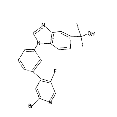 CC(C)(O)c1ccc2c(c1)ncn2-c1cccc(-c2cc(Br)ncc2F)c1